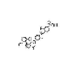 Cc1cc(OCc2c(C(C)C)cnn2-c2c(Cl)cccc2Cl)ccc1N(C)Cc1ccc(C(=O)O)cc1F